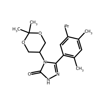 Cc1cc(C)c(C(C)C)cc1-c1n[nH]c(=O)n1C1COC(C)(C)OC1